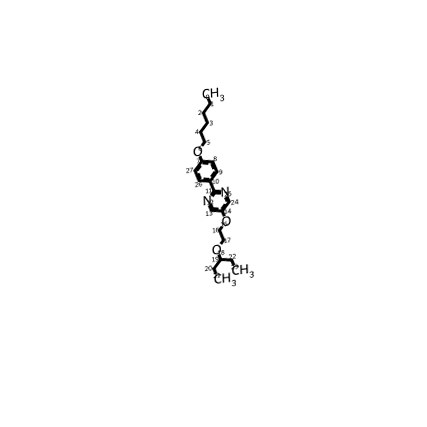 CCCCCCOc1ccc(-c2ncc(OCCOC(CC)CC)cn2)cc1